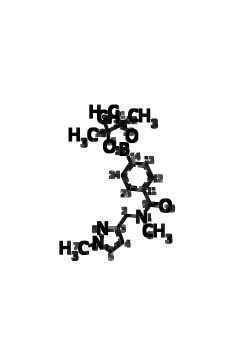 CN(Cc1ccn(C)n1)C(=O)c1ccc(B2OC(C)(C)C(C)(C)O2)cc1